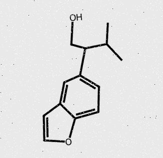 CC(C)C(CO)c1ccc2occc2c1